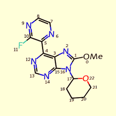 COc1nc2c(-c3nccnc3F)ncnc2n1C1CCCCO1